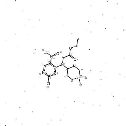 CCOC(=O)CN(c1nc(Cl)ncc1[N+](=O)[O-])C1CC[Si](C)(C)CC1